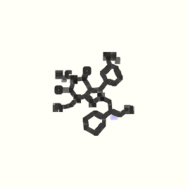 CC/C=C(\Cn1nc2c(c1-c1cccc(N)c1)c(=O)n(C)c(=O)n2CC(C)C)c1ccccc1